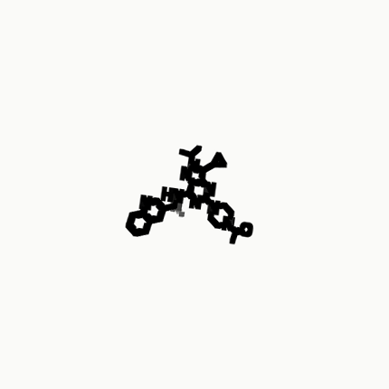 CC(=O)N1CCN(c2nc(N[C@H](C)c3cnc4ccccc4c3)c3nn(C(C)C)c(C4CC4)c3n2)CC1